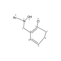 CC(=O)N(O)CC1=C(Cl)CCC=C1